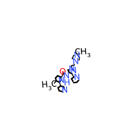 Cc1ccc(C(=O)Nc2cn(CCN3CCN(C)CC3)nc2-c2ccccn2)nc1-c1cccnc1